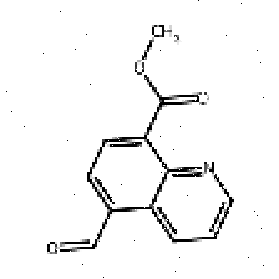 COC(=O)c1ccc(C=O)c2cccnc12